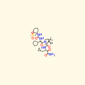 CC1(C)C2CN(C(=O)[C@@H](NC(=O)NC3(CS(C)(=O)=O)CCCCC3)C3CCCCC3)[C@H](C(=O)NC(CC3CC3)C(=O)C(N)=O)[C@H]21